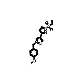 CCS(=O)(=O)n1ccc(-c2[c]nn(Cc3ccc(OC)cc3)c2)n1